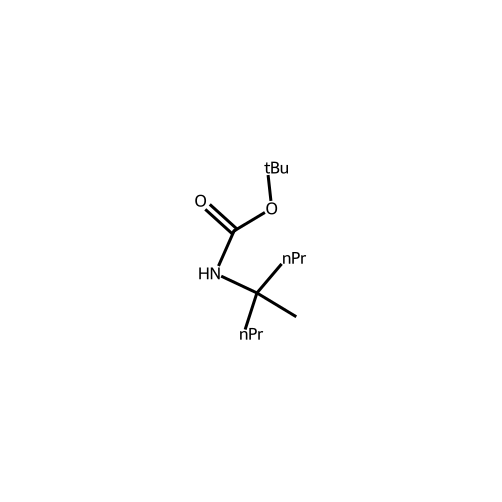 CCCC(C)(CCC)NC(=O)OC(C)(C)C